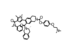 Cc1c(C(=O)N(C)c2ccccc2)cc(-c2cc3c(cc2C(=O)N2Cc4ccccc4C[C@H]2C)CN(C(=O)Oc2ccc(OCCN(C)C)cc2)CC3)n1C